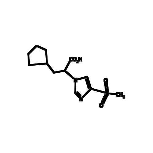 CS(=O)(=O)c1cn(C(CC2CCCC2)C(=O)O)cn1